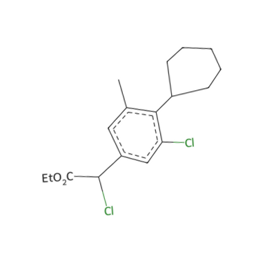 CCOC(=O)C(Cl)c1cc(C)c(C2CCCCC2)c(Cl)c1